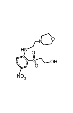 O=[N+]([O-])c1ccc(NCCN2CCOCC2)c(S(=O)(=O)CCO)c1